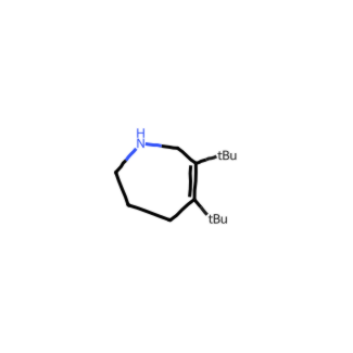 CC(C)(C)C1=C(C(C)(C)C)CNCCC1